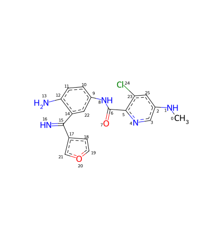 CNc1cnc(C(=O)Nc2ccc(N)c(C(=N)c3ccoc3)c2)c(Cl)c1